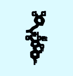 CCOC1=C(C(=O)NC(C)CCc2ccc(Cl)c(Cl)c2)CN(c2ccc(F)cc2F)C1=O